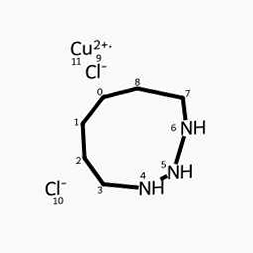 C1CCCNNNCC1.[Cl-].[Cl-].[Cu+2]